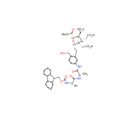 COC(=O)[C@H]1O[C@@H](CCc2cc(NC(=O)[C@H](C)NC(=O)[C@@H](NC(=O)OCC3c4ccccc4-c4ccccc43)C(C)C)ccc2CO)[C@@H](CC(=O)O)[C@@H](CC(=O)O)[C@@H]1CC(=O)O